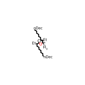 CCCCCCCCCCCCCCCCCC(CC)C(C)OC(C)C(CC)CCCCCCCCCCCCCCCCC